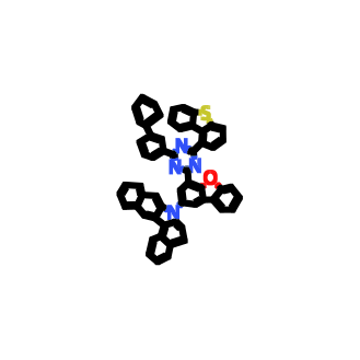 c1ccc(-c2cccc(-c3nc(-c4cc(-n5c6cc7ccccc7cc6c6c7ccccc7ccc65)cc5c4oc4ccccc45)nc(-c4cccc5sc6ccccc6c45)n3)c2)cc1